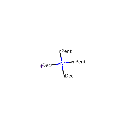 CCCCCCCCCC[N+](CCCCC)(CCCCC)CCCCCCCCCC.[I-]